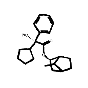 CC1C2CCC1[C@H](OC(=O)[C@](O)(c1ccccc1)C1CCCC1)C2